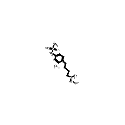 C.CCCCCCCN(CC)CCCCc1ccc(NS(N)(=O)=O)cc1